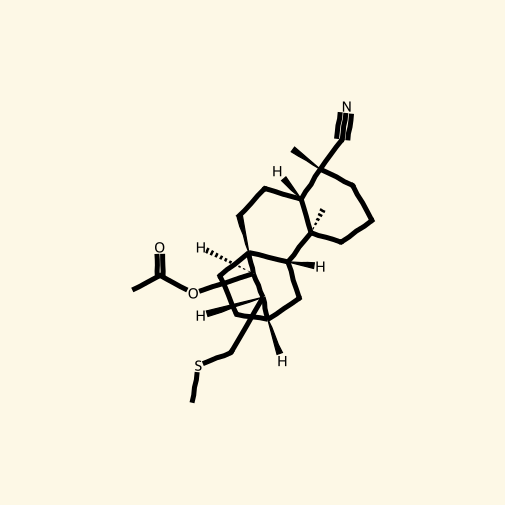 CSC[C@H]1[C@H]2CC[C@@]3(CC[C@H]4[C@@](C)(CCC[C@@]4(C)C#N)[C@@H]3C2)[C@@H]1OC(C)=O